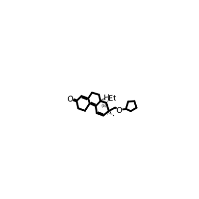 CC[C@H]1[C@@H]2CCC3=CC(=O)CCC3=C2C=C[C@]1(C)COC1CCCC1